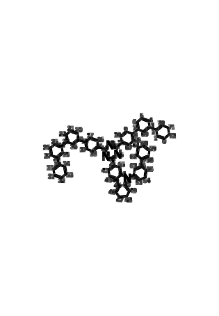 C1=CC(c2cccc(-c3ccc(-c4nc(-c5ccc(-c6cccc(-c7cccc(-c8ccccc8)c7)c6)cc5)nc(-c5ccc6c7ccccc7n(-c7cccc(-c8ccccc8)c7)c6c5)n4)cc3)c2)=CCC1